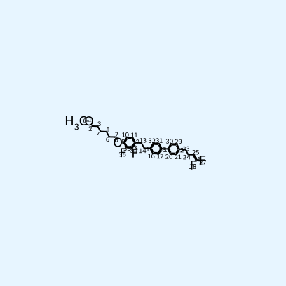 COCCCCCCOc1ccc(CCc2ccc(-c3ccc(CCC=C(F)F)cc3)cc2)c(F)c1F